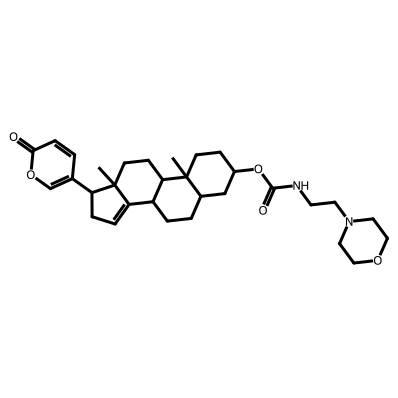 CC12CCC3C(CCC4CC(OC(=O)NCCN5CCOCC5)CCC43C)C1=CCC2c1ccc(=O)oc1